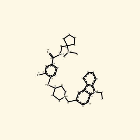 CCn1c2ccccc2c2cc(CN3CCC(Oc4ccc(C(=O)NCC5(N(C)C)CCCC5)cc4Cl)CC3)ccc21